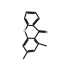 Cc1cc(C)c2c(=O)c3ccccc3oc2c1